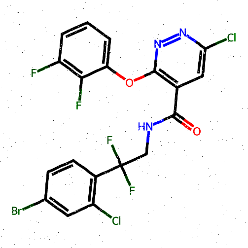 O=C(NCC(F)(F)c1ccc(Br)cc1Cl)c1cc(Cl)nnc1Oc1cccc(F)c1F